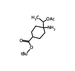 CC(=O)OC(C)C1(N)CCC(C(=O)OC(C)(C)C)CC1